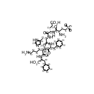 CS(=O)(=O)CC[C@H](N)C(=O)N[C@@H](CCC(=O)O)C(=O)N[C@@H](Cc1cnc[nH]1)C(=O)N[C@@H](Cc1ccccc1)C(=O)N[C@H](CCCCN)C(=O)N[C@@H](Cc1ccccc1)C(=O)O